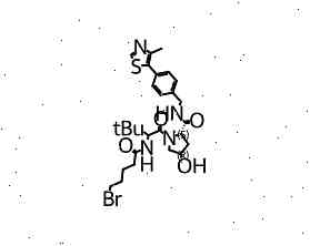 Cc1ncsc1-c1ccc(CNC(=O)[C@@H]2C[C@@H](O)CN2C(=O)C(NC(=O)CCCCBr)C(C)(C)C)cc1